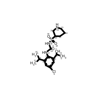 CC(C)c1cc(Cl)cc(C(C)C)c1NC(=O)NS(=O)(=O)C1CCCNC1